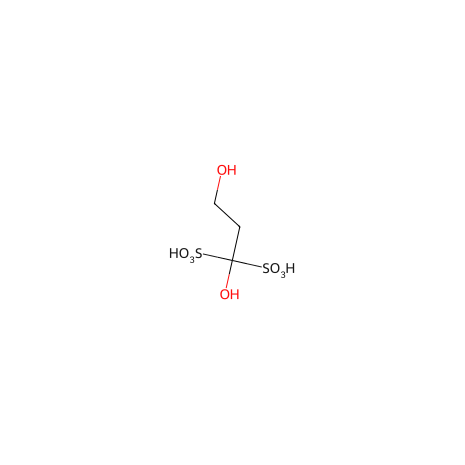 O=S(=O)(O)C(O)(CCO)S(=O)(=O)O